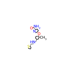 Cc1cc(CNCCc2cccs2)ccc1Oc1ccc(C(N)=O)nc1